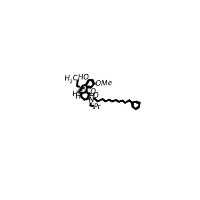 C=CCN1CC[C@]23c4c5c(O)cc(OC)c4O[C@H]2[C@@H](N(CC(C)C)C(=O)CCCCCCCCCCc2ccccc2)CC[C@H]3[C@H]1C5